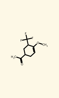 COC1=CCC(C(C)=O)CC1C(F)(F)F